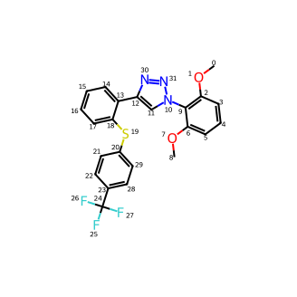 COc1cccc(OC)c1-n1cc(-c2ccccc2Sc2ccc(C(F)(F)F)cc2)nn1